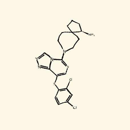 N[C@@H]1CCCC12CCN(c1ncc(Sc3ccc(Cl)cc3Cl)c3nncn13)CC2